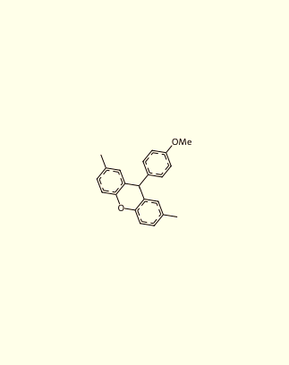 COc1ccc([C]2c3cc(C)ccc3Oc3ccc(C)cc32)cc1